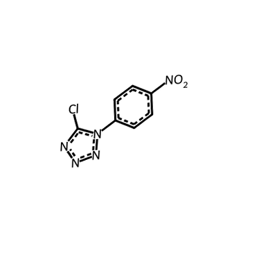 O=[N+]([O-])c1ccc(-n2nnnc2Cl)cc1